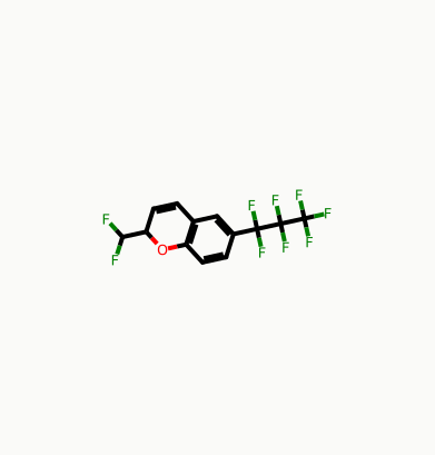 FC(F)C1C=Cc2cc(C(F)(F)C(F)(F)C(F)(F)F)ccc2O1